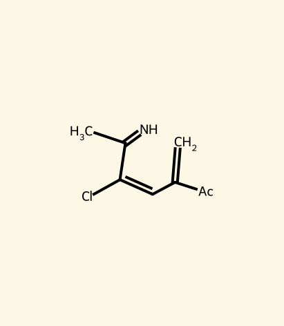 C=C(/C=C(/Cl)C(C)=N)C(C)=O